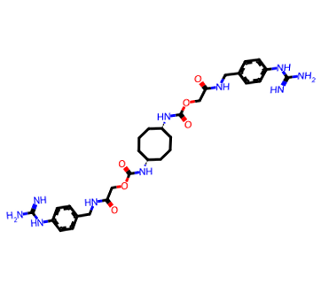 N=C(N)Nc1ccc(CNC(=O)COC(=O)N[C@H]2CCC[C@@H](NC(=O)OCC(=O)NCc3ccc(NC(=N)N)cc3)CCC2)cc1